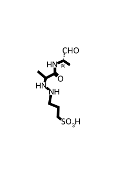 CC(NNCCCS(=O)(=O)O)C(=O)N[C@@H](C)C=O